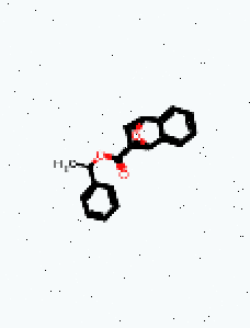 C[C@@H](OC(=O)c1cc2oc1c1ccccc21)c1ccccc1